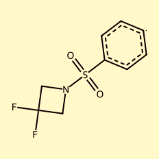 O=S(=O)(c1cc[c]cc1)N1CC(F)(F)C1